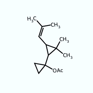 CC(=O)OC1(C2C(C=C(C)C)C2(C)C)CC1